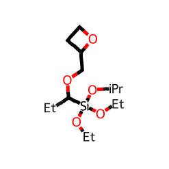 CCO[Si](OCC)(OC(C)C)C(CC)OCC1CCO1